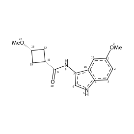 COc1ccc2[nH]cc(NC(=O)[C@H]3C[C@@H](OC)C3)c2c1